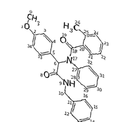 COc1ccc(C(C(=O)NCc2ccccc2)N(C(=O)c2ccccc2C)c2ccccc2)cc1